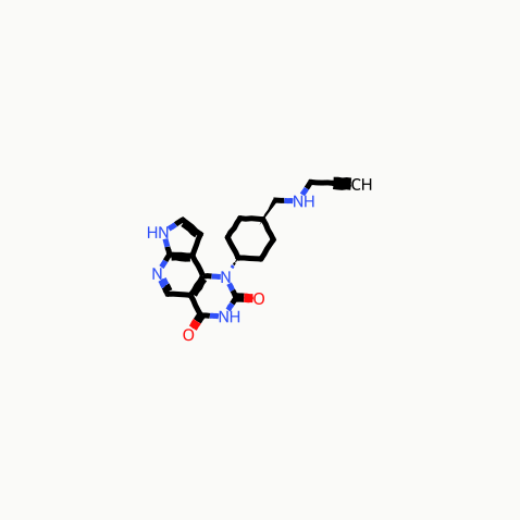 C#CCNC[C@H]1CC[C@H](n2c(=O)[nH]c(=O)c3cnc4[nH]ccc4c32)CC1